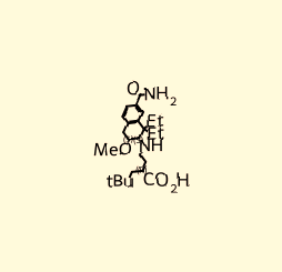 CCC1(CC)c2cc(C(N)=O)ccc2C[C@H](OC)[C@H]1NCC[C@@H](CC(C)(C)C)C(=O)O